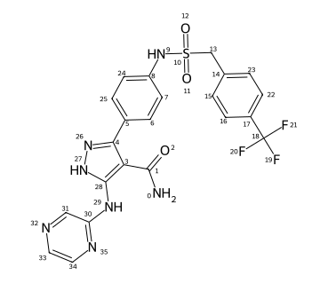 NC(=O)c1c(-c2ccc(NS(=O)(=O)Cc3ccc(C(F)(F)F)cc3)cc2)n[nH]c1Nc1cnccn1